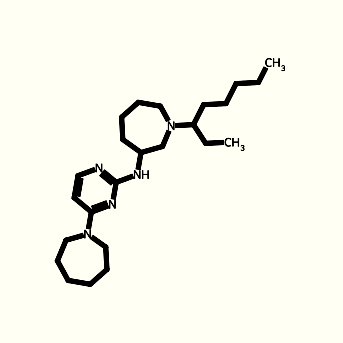 CCCCCC(CC)N1CCCCC(Nc2nccc(N3CCCCCC3)n2)C1